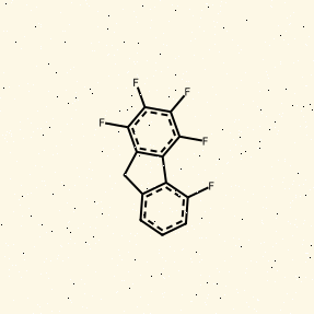 Fc1cccc2c1-c1c(F)c(F)c(F)c(F)c1C2